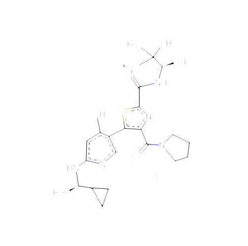 Cc1cc(N[C@H](C)C2CC2)ncc1-c1sc(C(=O)N[C@H](C)C(C)(C)O)nc1C(=O)N1CCC[C@@H]1C